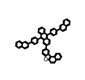 c1ccc2cc(-c3ccc(-c4c5ccccc5c(-c5ccc(-c6ccc7ccccc7c6)cc5)c5cc(-c6ccc7oc8ccc9ccccc9c8c7c6)ccc45)cc3)ccc2c1